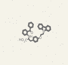 O=C(c1ccccc1)c1ccccc1N[C@@H](Cc1ccc(OCCn2c3ccccc3c3ccccc32)cc1)C(=O)O